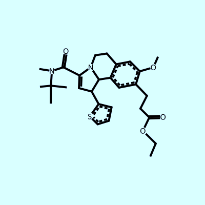 CCOC(=O)CCc1cc2c(cc1OC)CCN1C(C(=O)N(C)C(C)(C)C)=CC(c3cccs3)C21